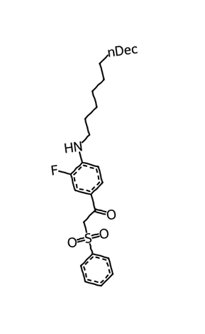 CCCCCCCCCCCCCCCCNc1ccc(C(=O)CS(=O)(=O)c2ccccc2)cc1F